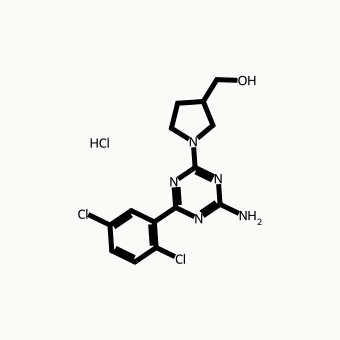 Cl.Nc1nc(-c2cc(Cl)ccc2Cl)nc(N2CCC(CO)C2)n1